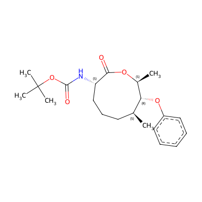 C[C@@H]1OC(=O)[C@@H](NC(=O)OC(C)(C)C)CCC[C@H](C)[C@H]1Oc1ccccc1